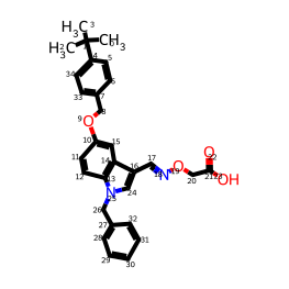 CC(C)(C)c1ccc(COc2ccc3c(c2)c(/C=N/OCC(=O)O)cn3Cc2ccccc2)cc1